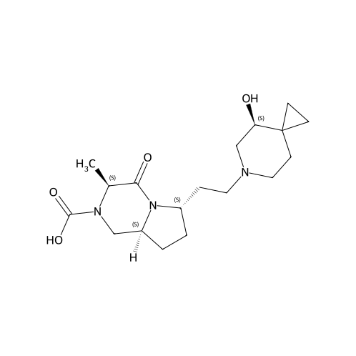 C[C@H]1C(=O)N2[C@H](CCN3CCC4(CC4)[C@H](O)C3)CC[C@H]2CN1C(=O)O